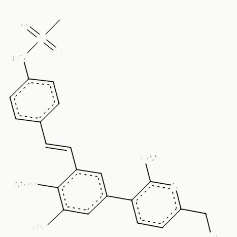 COc1nc(CO)ccc1-c1cc(/C=C/c2ccc(NS(C)(=O)=O)cc2)c(OC)c(C(C)(C)C)c1